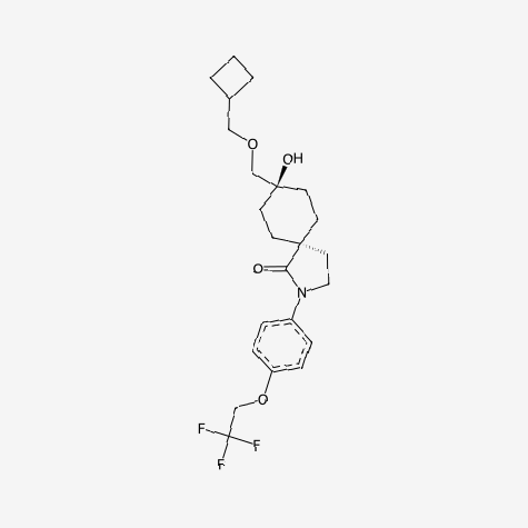 O=C1N(c2ccc(OCC(F)(F)F)cc2)CC[C@]12CC[C@@](O)(COCC1CCC1)CC2